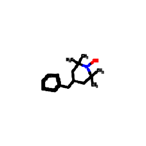 CC1(C)CC(Cc2ccccc2)CC(C)(C)N1O